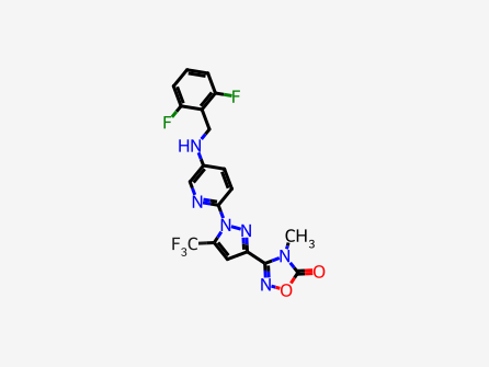 Cn1c(-c2cc(C(F)(F)F)n(-c3ccc(NCc4c(F)cccc4F)cn3)n2)noc1=O